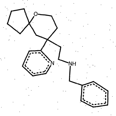 c1ccc(CNCCC2(c3ccccn3)CCOC3(CCCC3)C2)cc1